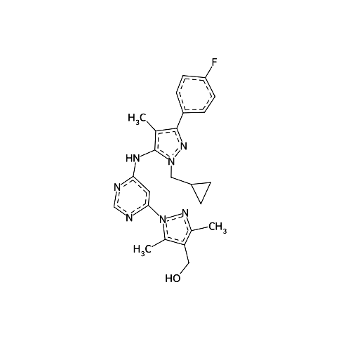 Cc1nn(-c2cc(Nc3c(C)c(-c4ccc(F)cc4)nn3CC3CC3)ncn2)c(C)c1CO